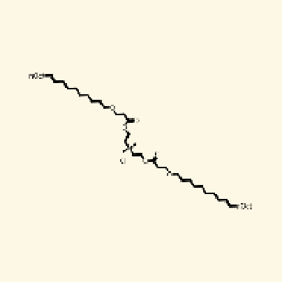 CCCCCCCCC=CCCCCCCCCOCCC(=O)OCC[N+](C)(C)CCOC(=O)CCOCCCCCCCCC=CCCCCCCCC.[Cl-]